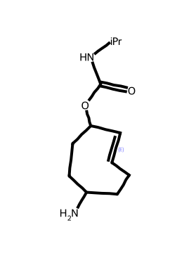 CC(C)NC(=O)OC1/C=C/CCC(N)CC1